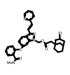 CCC1CC2CCCC(CC(=O)OCn3nc(/C=C/c4ccccn4)c4ccc(Sc5ccccc5C(=O)NC)cc43)(C1)C2